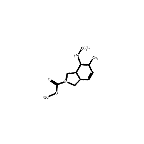 CCOC(=O)NC1C(C)C=CC2CN(C(=O)OC(C)(C)C)CC21